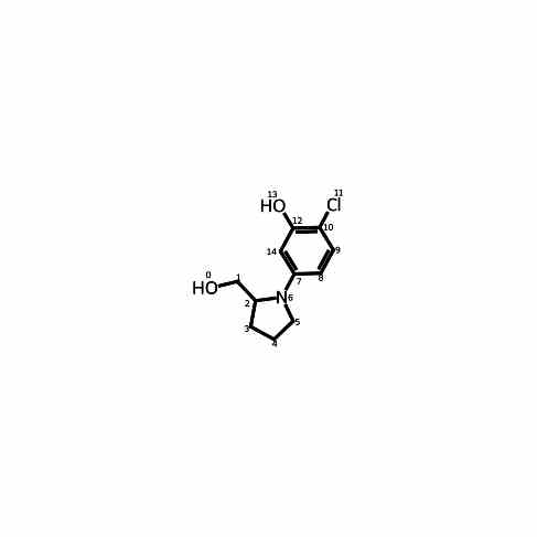 OCC1CCCN1c1ccc(Cl)c(O)c1